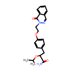 CC(C)OC(Cc1ccc(OCCn2ncc3ccccc3c2=O)cc1)C(N)=O